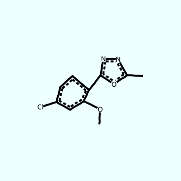 COc1cc(Cl)ccc1-c1nnc(C)o1